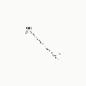 CCC(O)CCCCCCCCCCCCCCCCC(=O)O